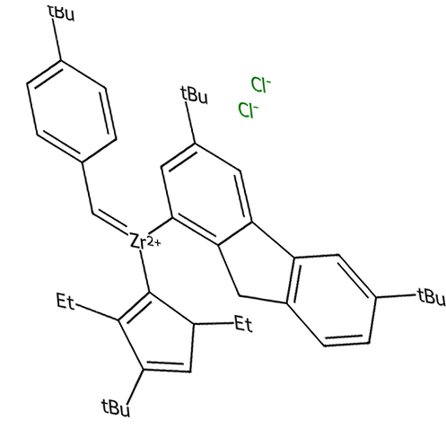 CCC1=[C](/[Zr+2](=[CH]/c2ccc(C(C)(C)C)cc2)[c]2cc(C(C)(C)C)cc3c2Cc2ccc(C(C)(C)C)cc2-3)C(CC)C=C1C(C)(C)C.[Cl-].[Cl-]